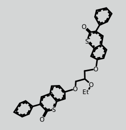 CCOC(COc1ccc2cc(-c3ccccc3)c(=O)sc2c1)COc1ccc2cc(-c3ccccc3)c(=O)sc2c1